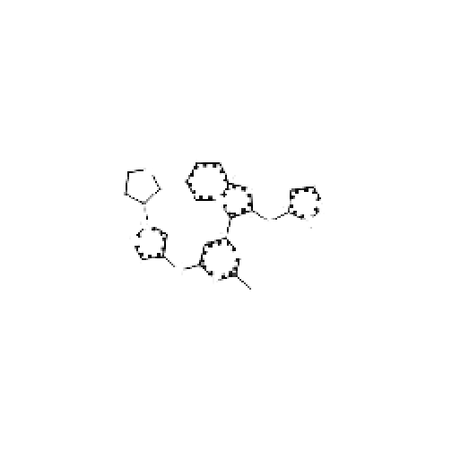 Cc1nc(Nc2cnn([C@H]3CCOC3)c2)cc(-c2c(Nc3cc[nH]n3)nc3ccccn23)n1